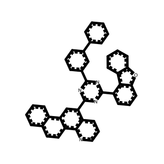 c1ccc(-c2cccc(-c3nc(-c4cc5c6ccccc6ccc5c5ncccc45)nc(-c4cccc5oc6ccccc6c45)n3)c2)cc1